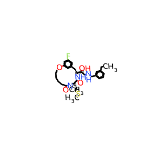 CCc1cccc(CNC[C@@H](O)[C@@H]2Cc3cc(F)cc(c3)OCCCCCC(=O)N(C)[C@@H](CCSC)C(=O)N2)c1